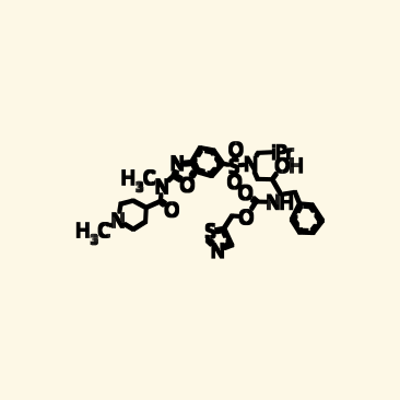 CC(C)CN(CC(O)C(Cc1ccccc1)NC(=O)OCc1cncs1)S(=O)(=O)c1ccc2nc(N(C)C(=O)C3CCN(C)CC3)oc2c1